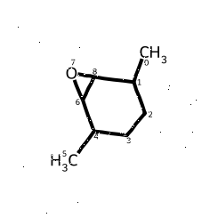 CC1CCC(C)C2OC12